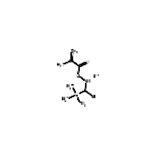 C=C(C)C(=O)ONC(CC)[N+](C)(C)C.[Cl-]